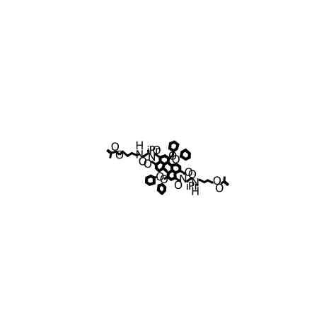 C=C(C)C(=O)OCCCCNC(=O)C(C(C)C)N1C(=O)c2cc(Oc3ccccc3)c3c4c(Oc5ccccc5)cc5c6c(cc(Oc7ccccc7)c(c7c(Oc8ccccc8)cc(c2c37)C1=O)c64)C(=O)N(C(C(=O)NCCCCOC(=O)C(=C)C)C(C)C)C5=O